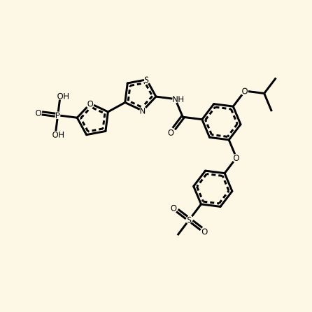 CC(C)Oc1cc(Oc2ccc(S(C)(=O)=O)cc2)cc(C(=O)Nc2nc(-c3ccc(P(=O)(O)O)o3)cs2)c1